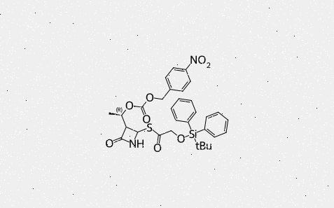 C[C@@H](OC(=O)OCc1ccc([N+](=O)[O-])cc1)C1C(=O)NC1SC(=O)CO[Si](c1ccccc1)(c1ccccc1)C(C)(C)C